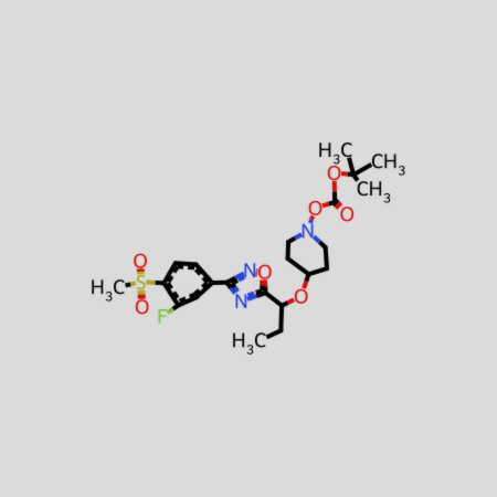 CCC(OC1CCN(OC(=O)OC(C)(C)C)CC1)c1nc(-c2ccc(S(C)(=O)=O)c(F)c2)no1